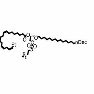 CC/C=C\C/C=C\C/C=C\C/C=C\CCCCCCC(=O)O[C@H](COCCCCCCCCCCCCCCCCCCCCCCCC)COP(=O)([O-])OCC[N+](C)(C)C